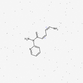 C=C(/C=C\C=C/N)N(N)c1ccccn1